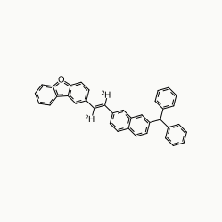 [2H]/C(=C(/[2H])c1ccc2oc3ccccc3c2c1)c1ccc2ccc(C(c3ccccc3)c3ccccc3)cc2c1